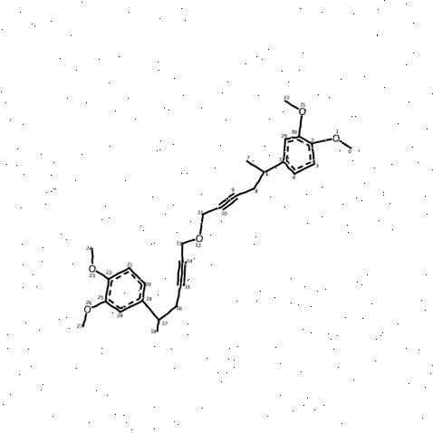 COc1ccc(C(C)CC#CCOCC#CCC(C)c2ccc(OC)c(OC)c2)cc1OC